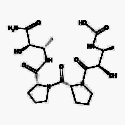 C[C@H](NC(=O)[C@H]1CCCN1C(=O)[C@H]1CCCN1C(=O)[C@H](O)[C@H](C)NC(=O)O)[C@@H](O)C(N)=O